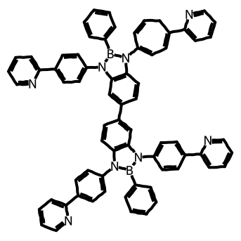 C1=CC(N2B(c3ccccc3)N(c3ccc(-c4ccccn4)cc3)c3cc(-c4ccc5c(c4)N(c4ccc(-c6ccccn6)cc4)B(c4ccccc4)N5c4ccc(-c5ccccn5)cc4)ccc32)=CC=C(c2ccccn2)C1